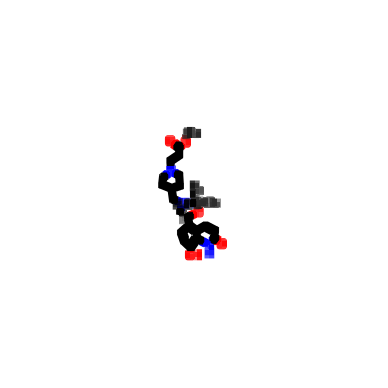 CC(C)(C)OC(=O)CCN1CCC(CNC[C@H](O[Si](C)(C)C(C)(C)C)c2ccc(O)c3[nH]c(=O)ccc23)CC1